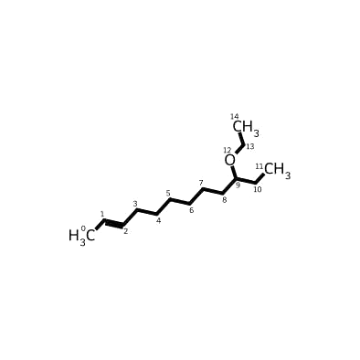 CC=CCCCCCCC(CC)OCC